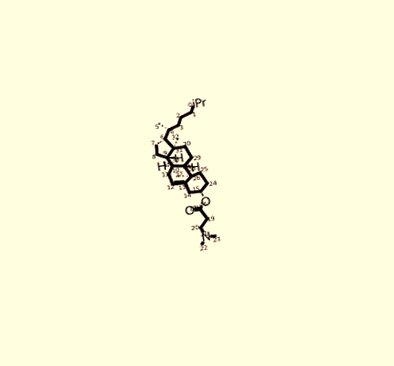 CC(C)CCC[C@@H](C)[C@H]1CC[C@H]2[C@@H]3CC=C4C[C@@H](OC(=O)CCN(C)C)CC[C@]4(C)[C@H]3CC[C@]12C